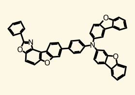 c1ccc(-c2nc3c(ccc4oc5cc(-c6ccc(N(c7ccc8c(c7)oc7ccccc78)c7ccc8oc9ccccc9c8c7)cc6)ccc5c43)o2)cc1